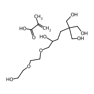 C=C(C)C(=O)O.OCCOCCOCC(O)CCC(CO)(CO)CO